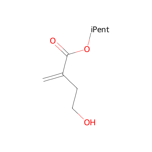 C=C(CCO)C(=O)OC(C)CCC